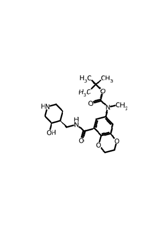 CN(C(=O)OC(C)(C)C)c1cc2c(c(C(=O)NC[C@@H]3CCNCC3O)c1)OCCO2